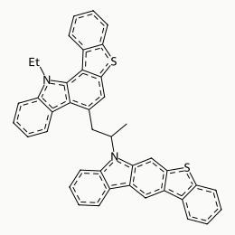 CCn1c2ccccc2c2c(CC(C)n3c4ccccc4c4cc5c(cc43)sc3ccccc35)cc3sc4ccccc4c3c21